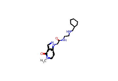 Cn1ccc2c(cnn2CC(=O)NCCNCC2CCCCC2)c1=O